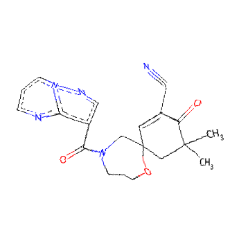 CC1(C)CC2(C=C(C#N)C1=O)CN(C(=O)c1cnn3cccnc13)CCO2